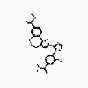 CNC(=O)c1ccc2c(c1)OCCc1cc(-c3ncnn3-c3ccc(C(=O)N(C)C)cc3Cl)sc1-2